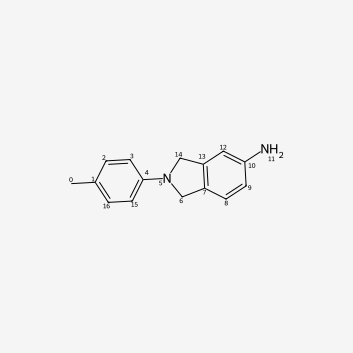 Cc1ccc(N2Cc3ccc(N)cc3C2)cc1